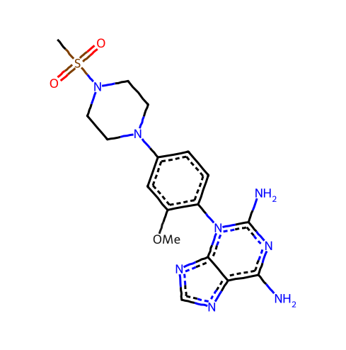 COc1cc(N2CCN(S(C)(=O)=O)CC2)ccc1-n1c(N)nc(N)c2ncnc1-2